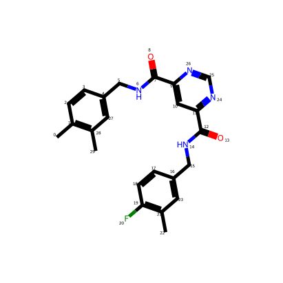 Cc1ccc(CNC(=O)c2cc(C(=O)NCc3ccc(F)c(C)c3)ncn2)cc1C